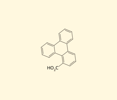 O=C(O)c1cccc2c3ccccc3c3ccccc3c12